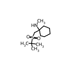 CNC1(CS(=O)(=O)C(C)(C)C)CCCCC1